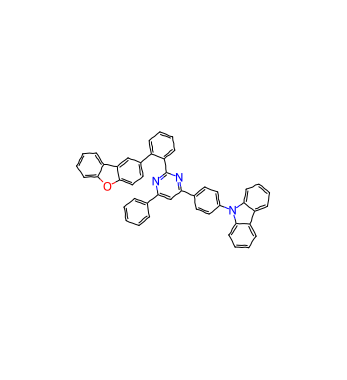 c1ccc(-c2cc(-c3ccc(-n4c5ccccc5c5ccccc54)cc3)nc(-c3ccccc3-c3ccc4oc5ccccc5c4c3)n2)cc1